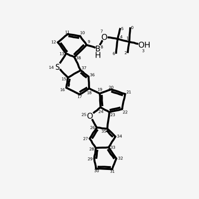 CC(C)(O)C(C)(C)OBc1cccc2sc3ccc(-c4cccc5c4oc4cc6ccccc6cc45)cc3c12